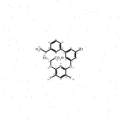 CCc1cc(Oc2nc(O[C@H](CC)C(=O)O)c(F)cc2F)cc(-c2cccc(CN)c2)c1